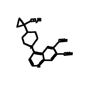 CCOC(=O)C1(C2CCN(c3ccnc4cc(OC)c(OC)cc34)CC2)CC1